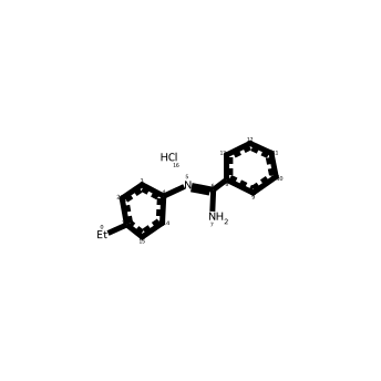 CCc1ccc(N=C(N)c2ccccc2)cc1.Cl